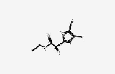 CCOC(=O)C(=O)c1cc(Br)c(Br)s1